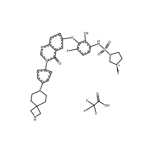 N#Cc1c(NS(=O)(=O)N2CC[C@@H](F)C2)ccc(F)c1Oc1ccc2ncn(-c3ccc(N4CCC5(CC4)CNC5)cc3)c(=O)c2c1.O=C(O)C(F)(F)F